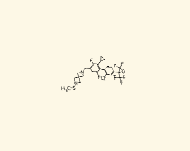 CSN1CC2(CN(Cc3cc(F)c(-c4ccc(C5(C(F)(F)F)OC5(F)F)cc4Cl)c(C4CC4)c3F)C2)C1